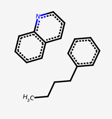 CCCCc1ccccc1.c1ccc2ncccc2c1